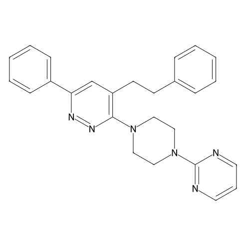 c1ccc(CCc2cc(-c3ccccc3)nnc2N2CCN(c3ncccn3)CC2)cc1